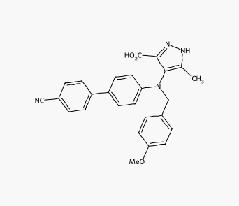 COc1ccc(CN(c2ccc(-c3ccc(C#N)cc3)cc2)c2c(C(=O)O)n[nH]c2C)cc1